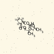 CC(O)COC(C)COC(=O)c1ccccc1C(=O)O